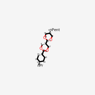 CCCCC[C@H]1CO[C@H]([C@H]2CO[C@H]([C@H]3CC[C@H](CCC)CC3)OC2)OC1